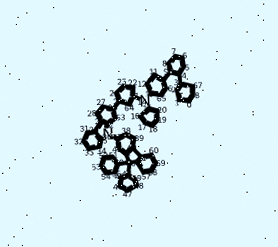 c1ccc(-c2ccccc2-c2ccc(N(c3ccccc3)c3cccc(-c4ccc5c6ccccc6n(-c6ccc7c(c6)C(c6ccccc6)(c6ccccc6)c6ccccc6-7)c5c4)c3)cc2)cc1